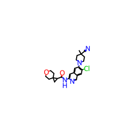 CC1(C#N)CCN(c2cc3cc(NC(=O)C4CC45CCOCC5)ncc3cc2Cl)CC1